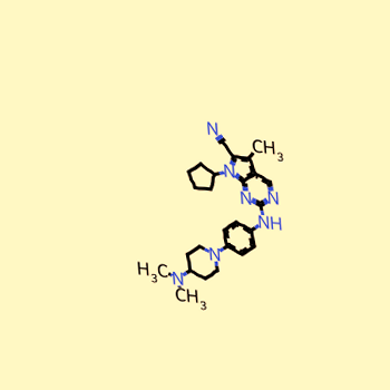 Cc1c(C#N)n(C2CCCC2)c2nc(Nc3ccc(N4CCC(N(C)C)CC4)cc3)ncc12